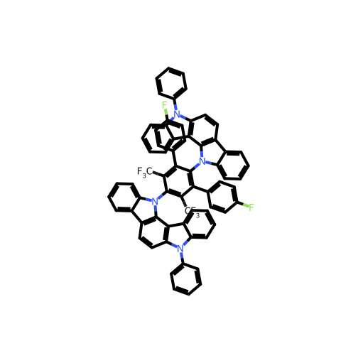 Fc1ccc(-c2c(-n3c4ccccc4c4ccc5c(c6ccccc6n5-c5ccccc5)c43)c(-c3ccc(F)cc3)c(C(F)(F)F)c(-n3c4ccccc4c4ccc5c(c6ccccc6n5-c5ccccc5)c43)c2C(F)(F)F)cc1